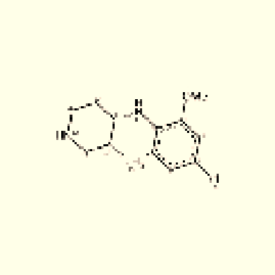 COc1cc(Cl)ccc1N[C@H]1CCNC[C@H]1C